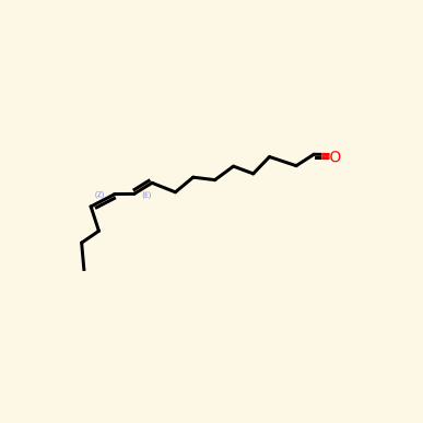 CCC/C=C\C=C\CCCCCCCC=O